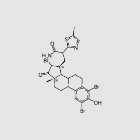 Cc1cnc(C(C[C@@H]2C(Br)C(=O)[C@@]3(C)CCC4c5cc(Br)c(O)c(Br)c5CCC4C23)C(N)=O)s1